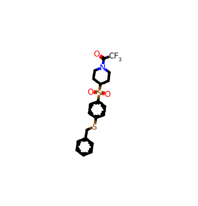 O=C(N1CCC(S(=O)(=O)c2ccc(SCc3ccccc3)cc2)CC1)C(F)(F)F